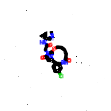 C/N=C\C1(NC(=O)Cn2c3nc(cc2=O)-c2ccc(Cl)cc2NC(=O)CCCCO3)CC1